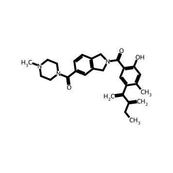 C=C(CC)C(=C)c1cc(C(=O)N2Cc3ccc(C(=O)N4CCN(C)CC4)cc3C2)c(O)cc1C